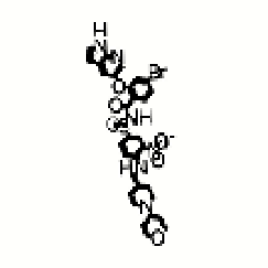 O=C(N[S+]([O-])c1ccc(NCC2CCN(C3CCOCC3)CC2)c([N+](=O)[O-])c1)c1ccc(Br)cc1Oc1cnc2[nH]ccc2c1